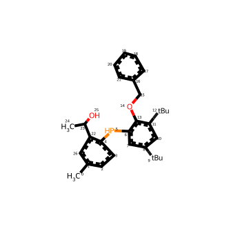 Cc1ccc(Pc2cc(C(C)(C)C)cc(C(C)(C)C)c2OCc2ccccc2)c(C(C)O)c1